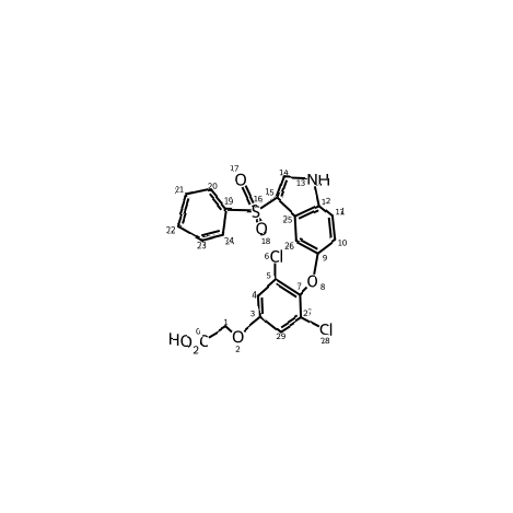 O=C(O)COc1cc(Cl)c(Oc2ccc3[nH]cc(S(=O)(=O)c4ccccc4)c3c2)c(Cl)c1